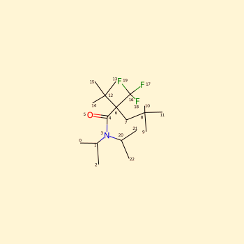 CC(C)N(C(=O)C(CC(C)(C)C)(C(C)(C)C)C(F)(F)F)C(C)C